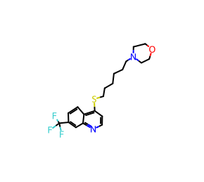 FC(F)(F)c1ccc2c(SCCCCCCN3CCOCC3)ccnc2c1